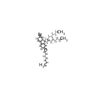 CCCCCCCCC1(CCCCCCCC)c2cc(Br)ccc2-c2ccc(OCCCCCCC)cc21